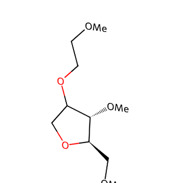 COCCOC1CO[C@H](COC)[C@H]1OC